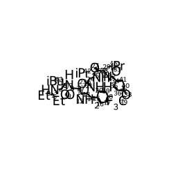 CCC(CC)NC(=O)[C@@H](NC(=O)CC(N)C(Cc1ccccc1)NC(=O)C(NC(=O)[C@H](CC(C)C)NC(=O)c1ccc(OC(F)(F)F)cc1)C(C)C)[C@@H](C)CC